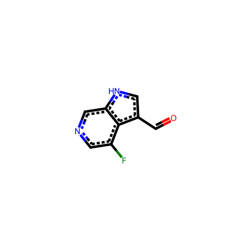 O=Cc1c[nH]c2cncc(F)c12